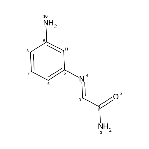 NC(=O)C=Nc1cccc(N)c1